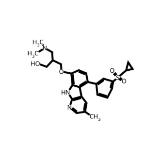 Cc1cnc2[nH]c3c(OCC(CO)CN(C)C)ccc(-c4cccc(S(=O)(=O)C5CC5)c4)c3c2c1